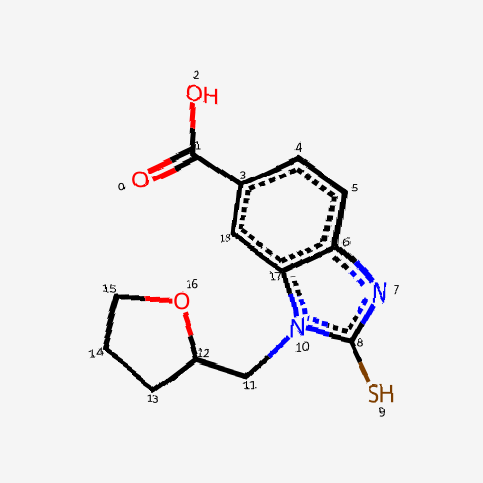 O=C(O)c1ccc2nc(S)n(CC3CCCO3)c2c1